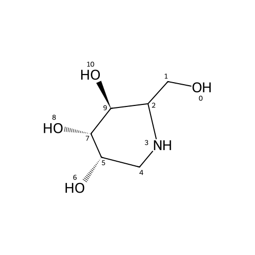 OCC1NC[C@H](O)[C@H](O)[C@H]1O